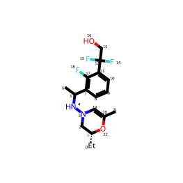 CC[C@@H]1CN(NC(C)c2cccc(C(F)(F)CO)c2F)C=C(C)O1